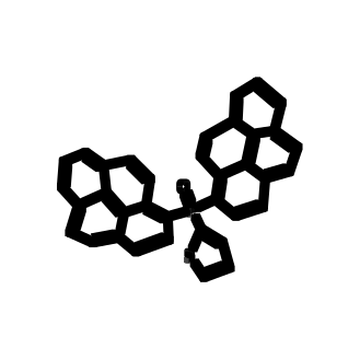 O=P(c1cccs1)(c1ccc2ccc3cccc4ccc1c2c34)c1ccc2ccc3cccc4ccc1c2c34